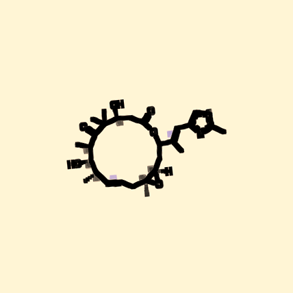 C/C(=C\c1csc(C)n1)C1C[C@H]2O[C@@]2(C)C/C=C/[C@H](C)[C@H](O)[C@@H](C)C(=O)C(C)(C)[C@@H](O)CC(=O)O1